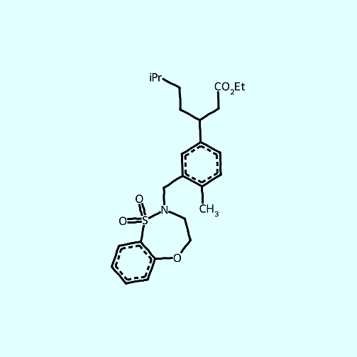 CCOC(=O)CC(CCC(C)C)c1ccc(C)c(CN2CCOc3ccccc3S2(=O)=O)c1